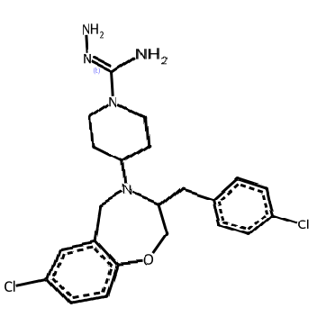 N/N=C(\N)N1CCC(N2Cc3cc(Cl)ccc3OCC2Cc2ccc(Cl)cc2)CC1